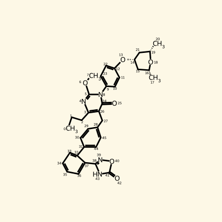 CCCc1nc(OC)n(-c2ccc(O[C@H]3C[C@@H](C)O[C@@H](C)C3)cc2)c(=O)c1Cc1ccc(-c2ccccc2-c2noc(=O)[nH]2)cc1